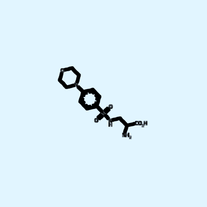 NC(CNS(=O)(=O)c1ccc(N2CCOCC2)cc1)C(=O)O